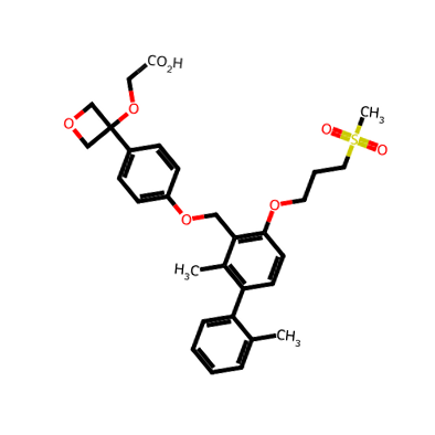 Cc1ccccc1-c1ccc(OCCCS(C)(=O)=O)c(COc2ccc(C3(OCC(=O)O)COC3)cc2)c1C